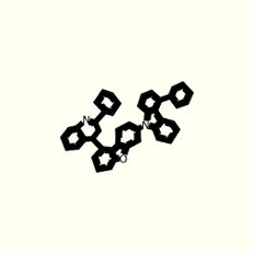 c1ccc(C2=Nc3ccccc3C(c3cccc4oc5cc(-n6c7ccccc7c7c(-c8ccccc8)cccc76)ccc5c34)C2)cc1